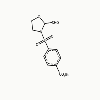 CCOC(=O)c1ccc(S(=O)(=O)N2CCOC2C=O)cc1